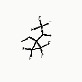 CCC1(C(C)C(F)(F)F)C(F)(F)C1(F)F